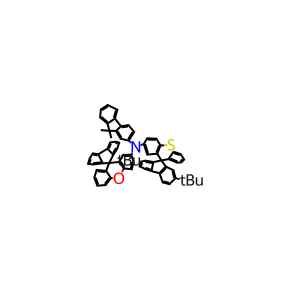 CC(C)(C)c1ccc2c(c1)C1(c3ccccc3Sc3ccc(N(c4ccc5c(c4)C(C)(C)c4ccccc4-5)c4ccc5c(c4)C4(c6ccccc6O5)c5ccccc5-c5ccccc54)cc31)c1cc(C(C)(C)C)ccc1-2